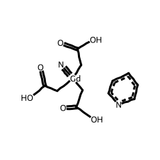 [N]#[Gd]([CH2]C(=O)O)([CH2]C(=O)O)[CH2]C(=O)O.c1ccncc1